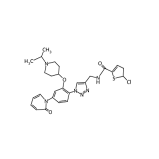 CC(C)N1CCC(Oc2cc(-n3ccccc3=O)ccc2-n2cc(CNC(=O)C3=CCC(Cl)S3)nn2)CC1